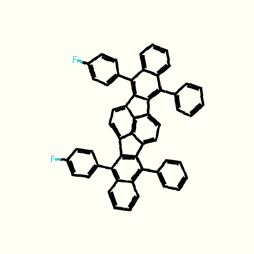 Fc1ccc(-c2c3c(c(-c4ccccc4)c4ccccc24)-c2ccc4c5c(ccc-3c25)-c2c-4c(-c3ccccc3)c3ccccc3c2-c2ccc(F)cc2)cc1